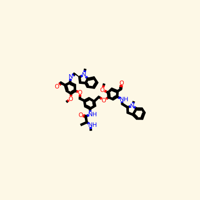 CNC(C)C(=O)Nc1cc(COc2cc(/N=C\[C@@H]3Cc4ccccc4N3C)c(C=O)cc2OC)cc(COc2cc(NCC3Cc4ccccc4N3C)c(C=O)cc2OC)c1